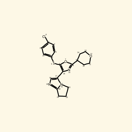 Clc1ccc(Sc2oc(C3CCOCC3)nc2-c2cnc3n2CCC3)cc1